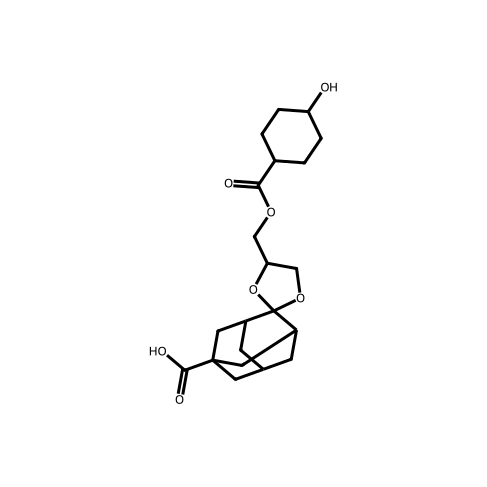 O=C(OCC1COC2(O1)C1CC3CC2CC(C(=O)O)(C3)C1)C1CCC(O)CC1